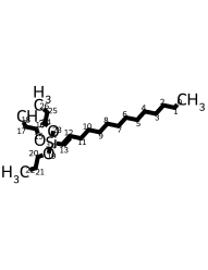 CCCCCCCCCCCCC=C[Si](OCCC)(OCCC)OCCC